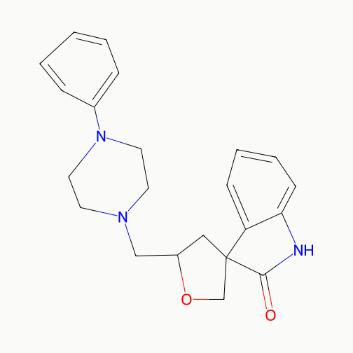 O=C1Nc2ccccc2C12COC(CN1CCN(c3ccccc3)CC1)C2